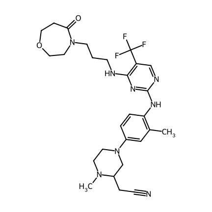 Cc1cc(N2CCN(C)C(CC#N)C2)ccc1Nc1ncc(C(F)(F)F)c(NCCCN2CCOCCC2=O)n1